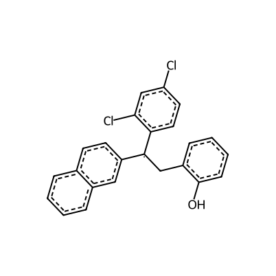 Oc1ccccc1C[C](c1ccc2ccccc2c1)c1ccc(Cl)cc1Cl